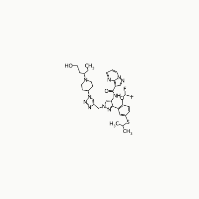 CCC(CCO)N1CCC(n2cc(Cn3cc(NC(=O)c4cnn5cccnc45)c(-c4cc(SC(C)C)ccc4OC(F)F)n3)nn2)CC1